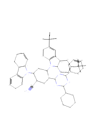 CC(C)(C)C1=CC2=C(CC1)N(C1CC(N3C4=C(C=CCC4)C4CCC=CC43)C(C#N)CC1C1NC(C3CC=CCC3)NC(C3CCCCC3)N1)C1CCC(C(C)(C)C)CC21